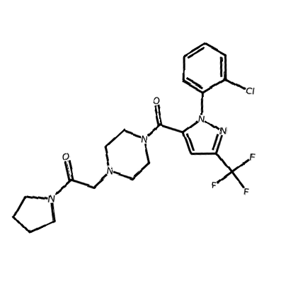 O=C(CN1CCN(C(=O)c2cc(C(F)(F)F)nn2-c2ccccc2Cl)CC1)N1CCCC1